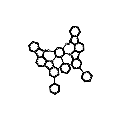 N#Cc1cc(C#N)c(-n2c3ccc(-c4ccccc4)cc3c3ccc4c5ccccc5sc4c32)c(-c2ccccc2)c1-n1c2ccc(-c3ccccc3)cc2c2ccc3c4ccccc4sc3c21